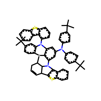 CC(C)(C)c1ccc(N(c2ccc(C(C)(C)C)cc2)c2cc3c4c(c2)N2c5c(sc6ccccc56)C5C=CCC(B4c4ccc(C(C)(C)C)cc4N3c3cccc4sc6ccccc6c34)C52)cc1